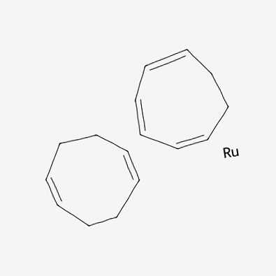 C1=CC=CCCC=C1.C1=CCCC=CCC1.[Ru]